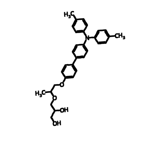 Cc1ccc(N(c2ccc(C)cc2)c2ccc(-c3ccc(OCC(C)OCC(O)CO)cc3)cc2)cc1